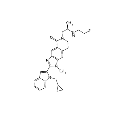 C[C@H](CN1CCc2cc3c(cc2C1=O)nc(-c1cc2ccccc2n1CC1CC1)n3C)NCCF